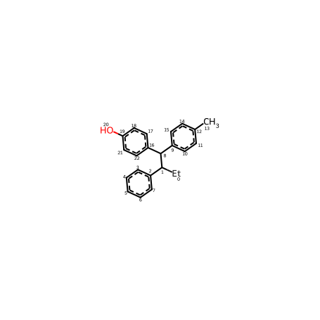 CCC(c1ccccc1)C(c1ccc(C)cc1)c1ccc(O)cc1